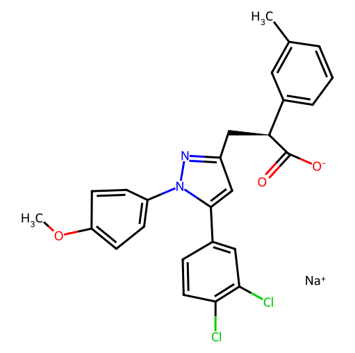 COc1ccc(-n2nc(C[C@H](C(=O)[O-])c3cccc(C)c3)cc2-c2ccc(Cl)c(Cl)c2)cc1.[Na+]